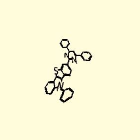 c1ccc(-c2cc(-c3ccccc3)nc(-c3ccc4c(c3)sc3c5ccccc5n(-c5ccccc5)c43)n2)cc1